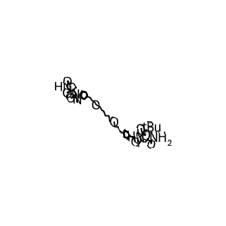 C[C@@H](OCc1ccc(CCCOCCCCCCOCCCc2ccc3c(c2)n(C)c(=O)n3C2CCC(=O)NC2=O)cc1)[C@H](CCC(N)=O)NC(=O)OC(C)(C)C